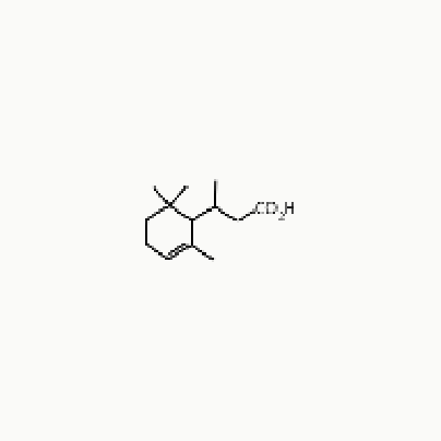 CC1=CCCC(C)(C)C1C(C)CC(=O)O